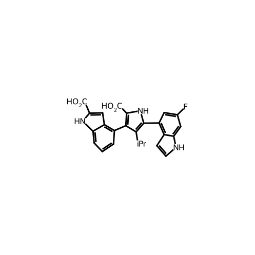 CC(C)c1c(-c2cc(F)cc3[nH]ccc23)[nH]c(C(=O)O)c1-c1cccc2[nH]c(C(=O)O)cc12